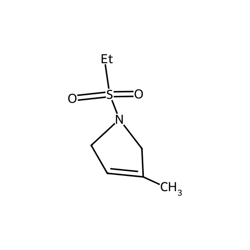 CCS(=O)(=O)N1CC=C(C)C1